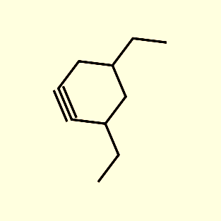 CCC1C#CCC(CC)C1